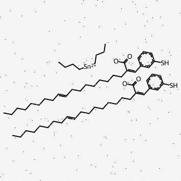 CCCCCCCCC=CCCCCCCCCC(=Cc1cccc(S)c1)C(=O)[O-].CCCCCCCCC=CCCCCCCCCC(=Cc1cccc(S)c1)C(=O)[O-].CCC[CH2][Sn+2][CH2]CCC